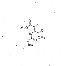 COC(=O)C(C)[C@H](NC(=O)OC(C)(C)C)C(=O)OC